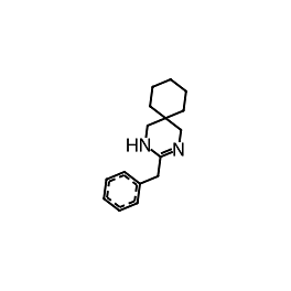 c1ccc(CC2=NCC3(CCCCC3)CN2)cc1